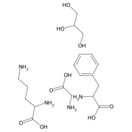 NC(Cc1ccccc1)C(=O)O.NCC(=O)O.NCCCC(N)C(=O)O.OCC(O)CO